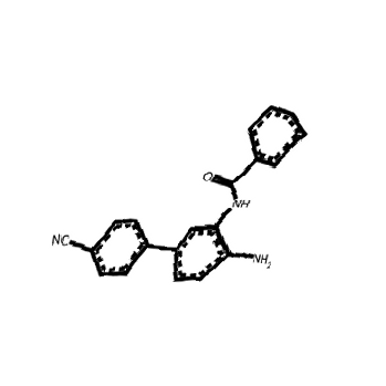 N#Cc1ccc(-c2ccc(N)c(NC(=O)c3ccccc3)c2)cc1